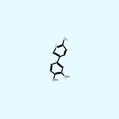 COc1ccc(-c2ccc(C)nc2)cc1OC